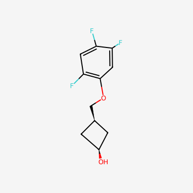 O[C@H]1C[C@@H](COc2cc(F)c(F)cc2F)C1